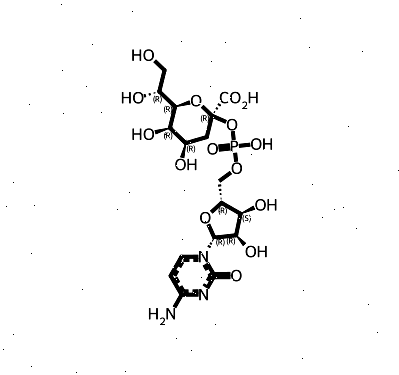 Nc1ccn([C@@H]2O[C@H](COP(=O)(O)O[C@@]3(C(=O)O)C[C@@H](O)[C@@H](O)[C@@H]([C@H](O)CO)O3)[C@@H](O)[C@H]2O)c(=O)n1